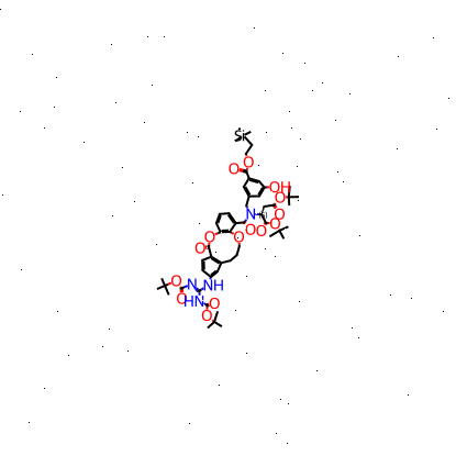 CC(C)(C)OC(=O)C[C@@H](C(=O)OC(C)(C)C)N(Cc1cc(O)cc(C(=O)OCC[Si](C)(C)C)c1)C(=O)c1cccc2c1OCCCc1cc(NC(=NC(=O)OC(C)(C)C)NC(=O)OC(C)(C)C)ccc1C(=O)O2